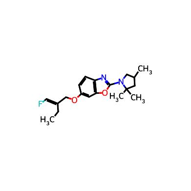 CC/C(=C\F)COc1ccc2nc(N3CC(C)CC3(C)C)oc2c1